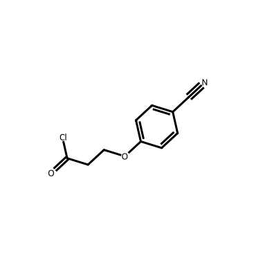 N#Cc1ccc(OCCC(=O)Cl)cc1